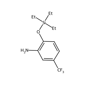 CC[Si](CC)(CC)Oc1ccc(C(F)(F)F)cc1N